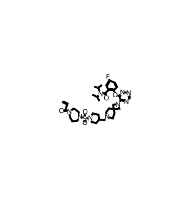 C=CC(=O)N1CCCN(S(=O)(=O)N2CCC(CN3CCC4(CC3)CN(c3ncnnc3Oc3ccc(F)cc3C(=O)N(C(C)C)C(C)C)C4)CC2)CC1